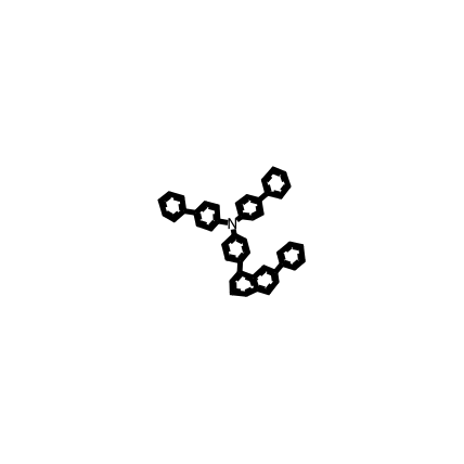 c1ccc(-c2ccc(N(c3ccc(-c4ccccc4)cc3)c3ccc(-c4cccc5ccc(-c6ccccc6)cc45)cc3)cc2)cc1